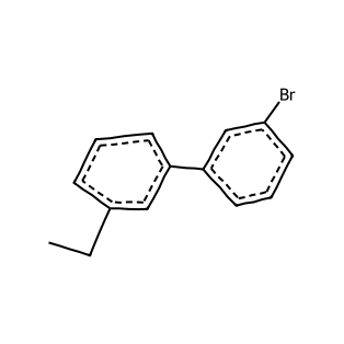 CCc1cccc(-c2cccc(Br)c2)c1